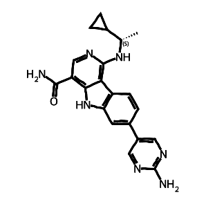 C[C@H](Nc1ncc(C(N)=O)c2[nH]c3cc(-c4cnc(N)nc4)ccc3c12)C1CC1